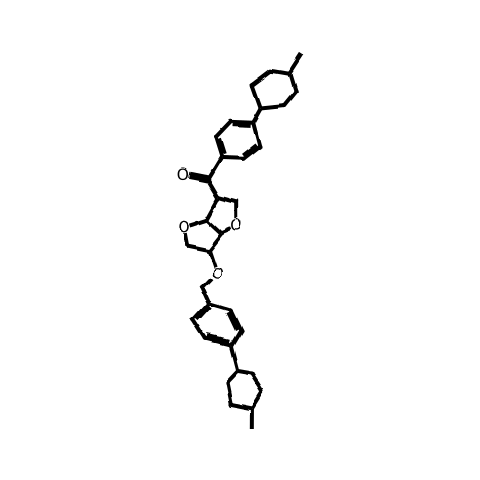 CC1CCC(c2ccc(COC3COC4C(C(=O)c5ccc(C6CCC(C)CC6)cc5)COC34)cc2)CC1